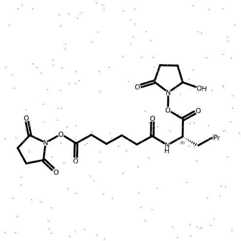 CC(C)C[C@H](NC(=O)CCCCC(=O)ON1C(=O)CCC1=O)C(=O)ON1C(=O)CCC1O